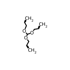 C=CCO[C](OCC=C)OCC=C